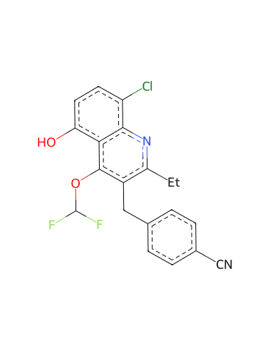 CCc1nc2c(Cl)ccc(O)c2c(OC(F)F)c1Cc1ccc(C#N)cc1